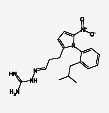 CC(C)Cc1ccccc1-n1c(CCC=NNC(=N)N)ccc1[N+](=O)[O-]